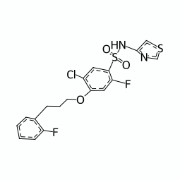 O=S(=O)(Nc1cscn1)c1cc(Cl)c(OCCCc2ccccc2F)cc1F